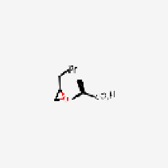 C=C(C)C(=O)O.CC(C)CC1CO1